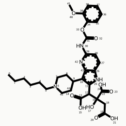 CCCCCCN1CCC(c2c(C(C(=O)O)C(O)(CC(=O)O)C(=O)O)[nH]c3ccc(NC(=O)Oc4ccccc4OC)nc23)CC1